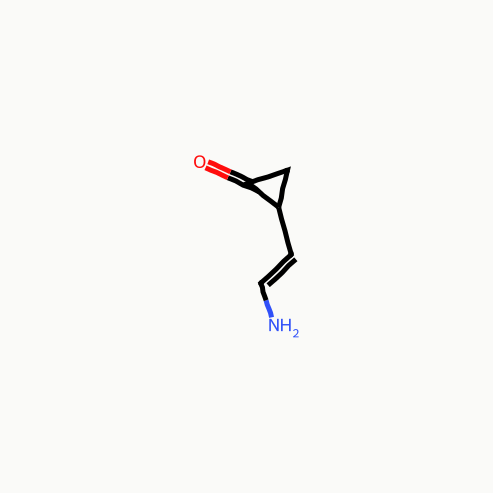 NC=CC1CC1=O